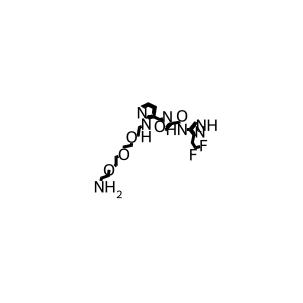 NCCOCCOCCOCCNc1ncccc1-c1nc(C(=O)Nc2c[nH]nc2CC(F)F)co1